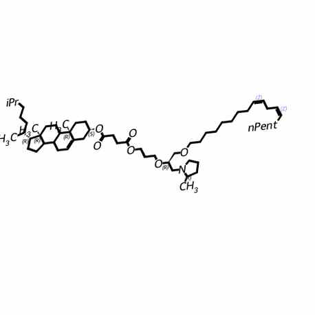 CCCCC/C=C\C/C=C\CCCCCCCCOC[C@@H](CN1CCC[C@H]1C)OCCCOC(=O)CCC(=O)O[C@H]1CC[C@@]2(C)C(=CCC3C2CC[C@@]2(C)C3CC[C@@H]2C(C)CCCC(C)C)C1